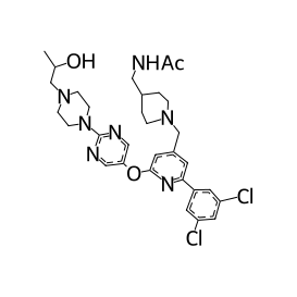 CC(=O)NCC1CCN(Cc2cc(Oc3cnc(N4CCN(CC(C)O)CC4)nc3)nc(-c3cc(Cl)cc(Cl)c3)c2)CC1